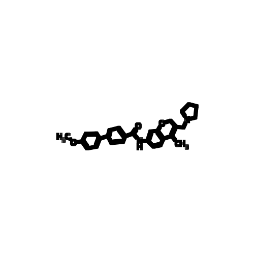 COc1ccc(-c2ccc(C(=O)Nc3ccc4c(c3)OCC(CN3CCCC3)=C4C)cc2)cc1